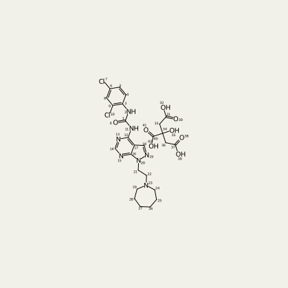 O=C(Nc1ccc(Cl)cc1Cl)Nc1ncnc2c1cnn2CCN1CCCCCC1.O=C(O)CC(O)(CC(=O)O)C(=O)O